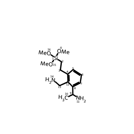 CO[Si](CCc1cccc(C(C)N)c1CN)(OC)OC